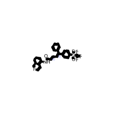 O=C(/C=C/C=C(\c1ccccc1)c1ccc(S(=O)(=O)C(F)(F)F)cc1)Nc1cccc2cnccc12